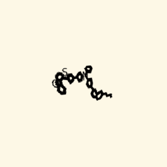 CCCCc1ccc2ccc(-c3ccc(N(c4ccccc4)c4ccc(-c5ccc6c(c5)sc5ccc7oc8ccccc8c7c56)cc4)cc3)cc2c1